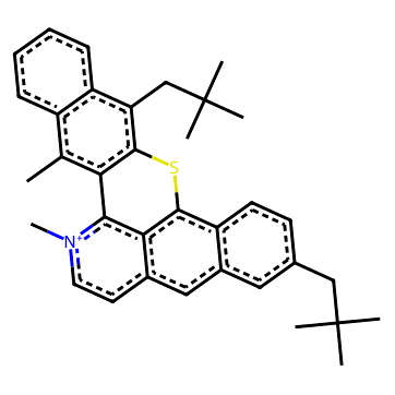 Cc1c2c(c(CC(C)(C)C)c3ccccc13)Sc1c3ccc(CC(C)(C)C)cc3cc3cc[n+](C)c-2c13